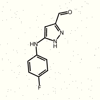 O=Cc1cc(Nc2ccc(F)cc2)[nH]n1